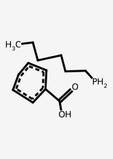 CCCCCCP.O=C(O)c1ccccc1